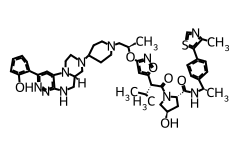 Cc1ncsc1-c1ccc([C@H](C)NC(=O)[C@@H]2C[C@@H](O)CN2C(=O)[C@@H](c2cc(O[C@H](C)CN3CCC(N4CCN5c6cc(-c7ccccc7O)nnc6NC[C@H]5C4)CC3)no2)C(C)C)cc1